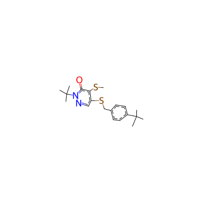 CSc1c(SCc2ccc(C(C)(C)C)cc2)cnn(C(C)(C)C)c1=O